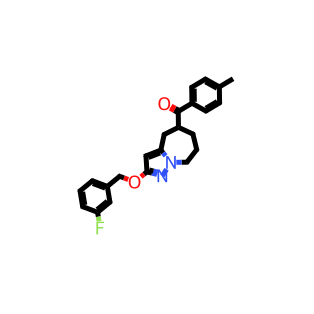 Cc1ccc(C(=O)C2CCCn3nc(OCc4cccc(F)c4)cc3C2)cc1